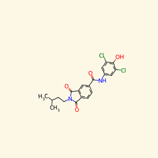 CC(C)CCN1C(=O)c2ccc(C(=O)Nc3cc(Cl)c(O)c(Cl)c3)cc2C1=O